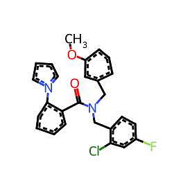 COc1cccc(CN(Cc2ccc(F)cc2Cl)C(=O)c2ccccc2-n2cccc2)c1